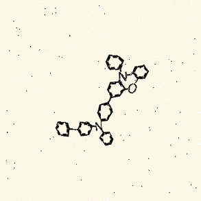 c1ccc(-c2ccc(N(c3ccccc3)c3ccc(-c4ccc5c(c4)Oc4ccccc4N5c4ccccc4)cc3)cc2)cc1